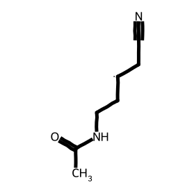 CC(=O)NCC[CH]CC#N